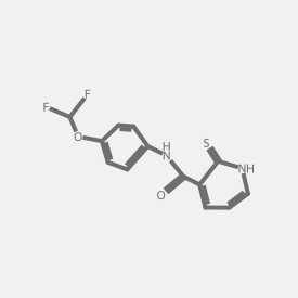 O=C(Nc1ccc(OC(F)F)cc1)c1ccc[nH]c1=S